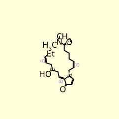 CC/C=C\C[C@H](O)C/C=C1/C(=O)C=C[C@@H]1C/C=C\CCCC(=O)N(C)C